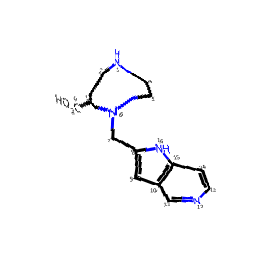 O=C(O)C1CNCCN1Cc1cc2cnccc2[nH]1